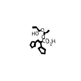 C=CC(=O)OC(O)C=C.O=C(O)C(=CC1=CCCC1)C1=CCCC1